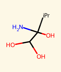 CC(C)C(N)(O)C(O)O